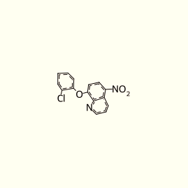 O=[N+]([O-])c1ccc(Oc2ccccc2Cl)c2ncccc12